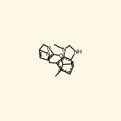 Cc1ccc2c(c1CN1C3=CC=C(OC(F)F)N1C3)N(C)CN2